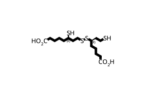 O=C(O)CCCC[C@@H](S)CCSS[C@@H](CCS)CCCCC(=O)O